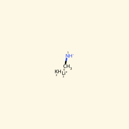 C[NH-].[KH].[Li+]